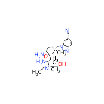 C=C/N=C(\C(N)C[C@@]1(ON)CCC[C@](C)(Cn2cnc3ccc(C#N)cc32)C1)C(C)(C)CO